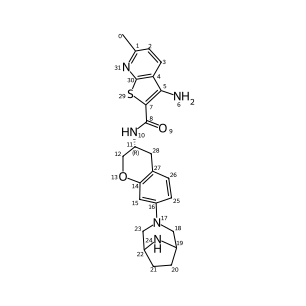 Cc1ccc2c(N)c(C(=O)N[C@H]3COc4cc(N5CC6CCC(C5)N6)ccc4C3)sc2n1